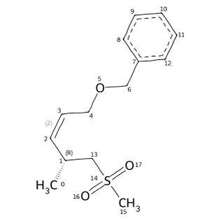 C[C@H](/C=C\COCc1ccccc1)CS(C)(=O)=O